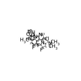 CN(C)C[C@@H]1C[C@H](F)CN1c1c(Cl)cnc2[nH]c3c(N(C)C(=O)OC(C)(C)C)cc(F)c(F)c3c12